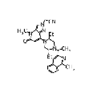 CC[C@H]1CN(C(C)c2cc3ccccc3c(C)n2)[C@H](CC)CN1c1cc(=O)n(C)c2cn(CC#N)nc12